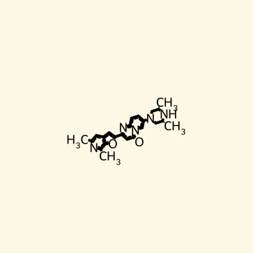 Cc1cc2cc(-c3cc(=O)n4cc(N5C[C@@H](C)N[C@@H](C)C5)ccc4n3)oc2c(C)n1